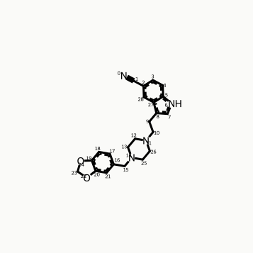 N#Cc1ccc2[nH]cc(CCN3CCN(Cc4ccc5c(c4)OCO5)CC3)c2c1